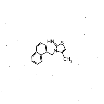 Cc1csc(=N)n1Cc1cccc2ccccc12